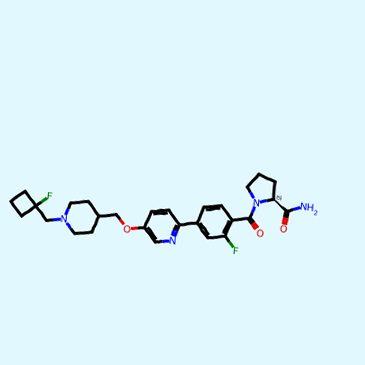 NC(=O)[C@@H]1CCCN1C(=O)c1ccc(-c2ccc(OCC3CCN(CC4(F)CCC4)CC3)cn2)cc1F